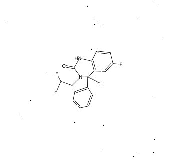 CCC1(c2ccccc2)c2cc(F)ccc2NC(=O)N1CC(F)F